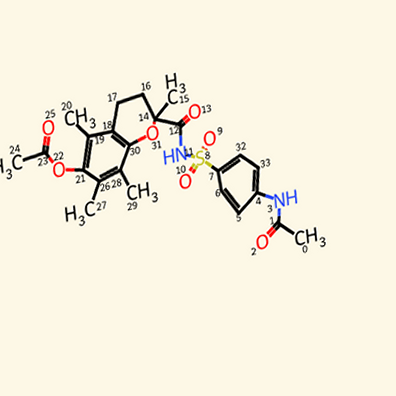 CC(=O)Nc1ccc(S(=O)(=O)NC(=O)C2(C)CCc3c(C)c(OC(C)=O)c(C)c(C)c3O2)cc1